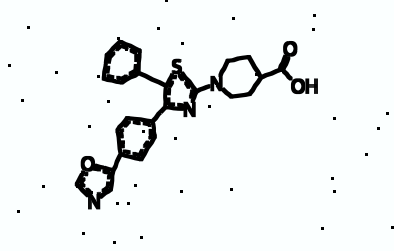 O=C(O)C1CCN(c2nc(-c3ccc(-c4cnco4)cc3)c(-c3ccccc3)s2)CC1